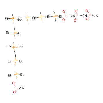 CC[P+](C)(C)CC.CC[P+](C)(C)CC.CC[P+](C)(C)CC.CC[P+](C)(C)CC.CC[P+](C)(C)CC.CC[P+](C)(C)CC.CC[P+](C)(C)CC.CC[P+](C)(C)CC.N#CB([O-])[O-].N#CB([O-])[O-].N#CB([O-])[O-].N#CB([O-])[O-]